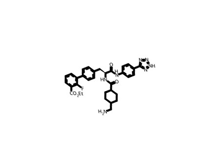 CCOC(=O)c1cccc(-c2ccc(C[C@H](NC(=O)C3CCC(CN)CC3)C(=O)Nc3ccc(-c4nn[nH]n4)cc3)cc2)c1F